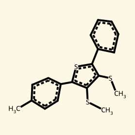 CSc1c(-c2ccccc2)sc(-c2ccc(C)cc2)c1SC